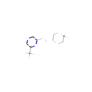 C[C@@H]1OC(F)(F)CN[C@@H]1CNc1cncc(C(F)(F)F)n1.Cl